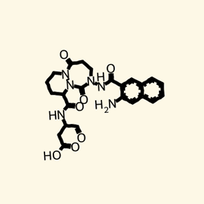 Nc1cc2ccccc2cc1C(=O)NN1CCC(=O)N2CCCC(C(=O)NC(C=O)CC(=O)O)N2C1=O